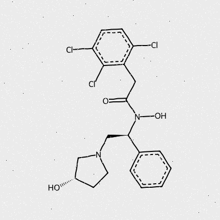 O=C(Cc1c(Cl)ccc(Cl)c1Cl)N(O)[C@H](CN1CC[C@H](O)C1)c1ccccc1